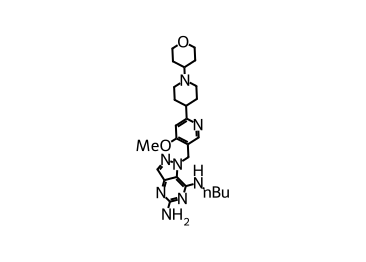 CCCCNc1nc(N)nc2cnn(Cc3cnc(C4CCN(C5CCOCC5)CC4)cc3OC)c12